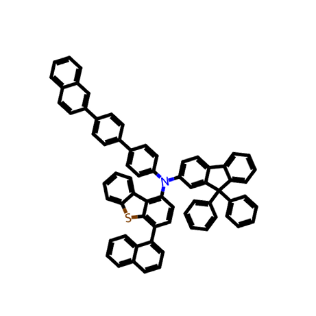 c1ccc(C2(c3ccccc3)c3ccccc3-c3ccc(N(c4ccc(-c5ccc(-c6ccc7ccccc7c6)cc5)cc4)c4ccc(-c5cccc6ccccc56)c5sc6ccccc6c45)cc32)cc1